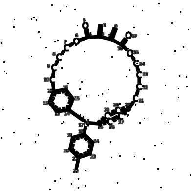 C=C1C(=C)C(=O)OCCCCc2ccc(cc2)N(c2ccc(C)cc2)c2ccc(cc2)CCCCOC1=O